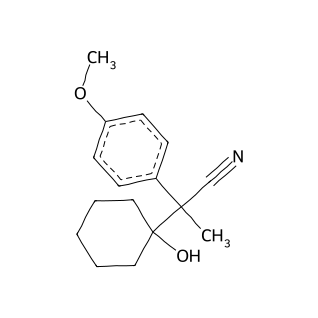 COc1ccc(C(C)(C#N)C2(O)CCCCC2)cc1